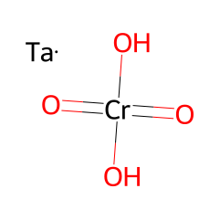 [O]=[Cr](=[O])([OH])[OH].[Ta]